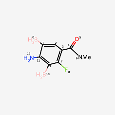 Bc1cc(C(=O)NC)c(F)c(B)c1N